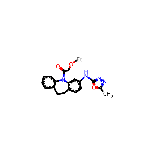 CCOCC(=O)N1c2ccccc2CCc2ccc(Nc3nnc(C)o3)cc21